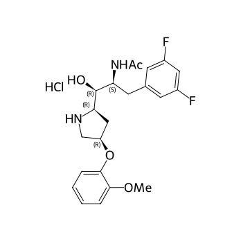 COc1ccccc1O[C@H]1CN[C@@H]([C@@H](O)[C@H](Cc2cc(F)cc(F)c2)NC(C)=O)C1.Cl